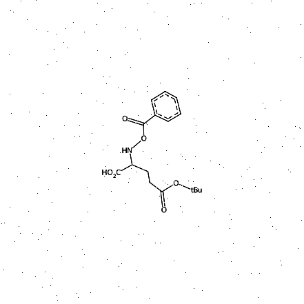 CC(C)(C)OC(=O)CCC(NOC(=O)c1ccccc1)C(=O)O